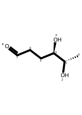 C[C@H](O)[C@H](O)CCC=O